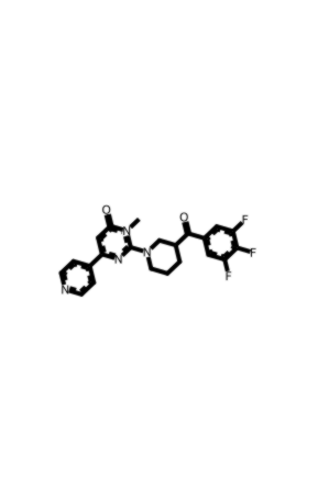 Cn1c(N2CCCC(C(=O)c3cc(F)c(F)c(F)c3)C2)nc(-c2ccncc2)cc1=O